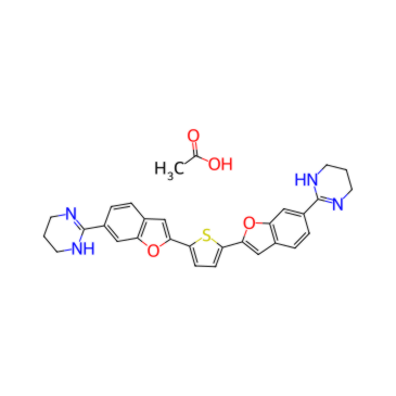 CC(=O)O.c1cc2cc(-c3ccc(-c4cc5ccc(C6=NCCCN6)cc5o4)s3)oc2cc1C1=NCCCN1